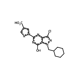 O=C(O)c1cnn(-c2nc(O)c3c(n2)c(Cl)nn3CC2CCCCC2)c1